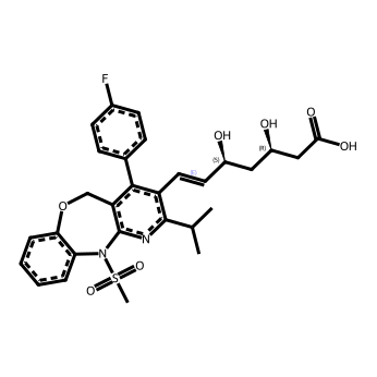 CC(C)c1nc2c(c(-c3ccc(F)cc3)c1/C=C/[C@@H](O)C[C@@H](O)CC(=O)O)COc1ccccc1N2S(C)(=O)=O